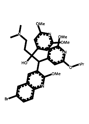 CCCOc1cc(C(c2cc3cc(Br)ccc3nc2OC)C(O)(CCN(C)C)c2cc(OC)nc(OC)c2)cc(OC)n1